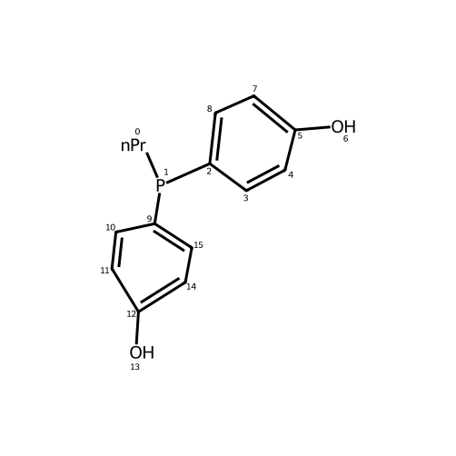 CCCP(c1ccc(O)cc1)c1ccc(O)cc1